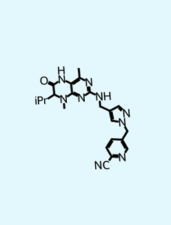 Cc1nc(NCc2cnn(Cc3ccc(C#N)nc3)c2)nc2c1NC(=O)C(C(C)C)N2C